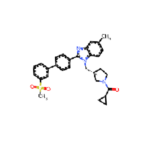 Cc1ccc2c(c1)nc(-c1ccc(-c3cccc(S(C)(=O)=O)c3)cc1)n2C[C@@H]1CCN(C(=O)C2CC2)C1